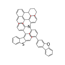 c1ccc(N(c2ccc(-c3ccc4c(c3)oc3ccccc34)cc2)c2ccccc2-c2cccc3sc4ccccc4c23)c(-c2cccc3cccc(C4CCCCC4)c23)c1